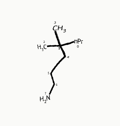 CCCC(C)(C)CCCN